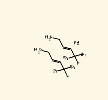 CC(C)C(F)(C=CCP)C(C)C.CC(C)C(F)(C=CCP)C(C)C.[Pd]